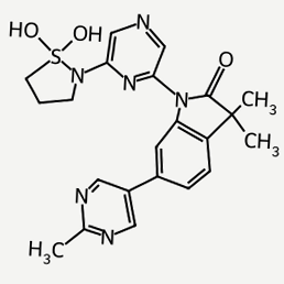 Cc1ncc(-c2ccc3c(c2)N(c2cncc(N4CCCS4(O)O)n2)C(=O)C3(C)C)cn1